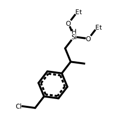 CCO[SiH](CC(C)c1ccc(CCl)cc1)OCC